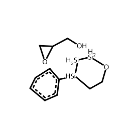 OCC1CO1.c1ccc([SiH]2CCO[SiH2][SiH2]2)cc1